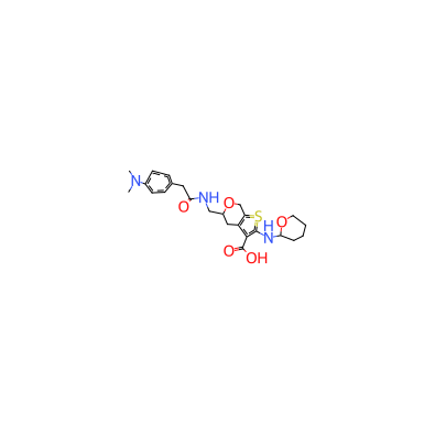 CN(C)c1ccc(CC(=O)NCC2Cc3c(sc(NC4CCCCO4)c3C(=O)O)CO2)cc1